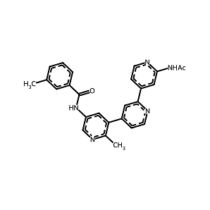 CC(=O)Nc1cc(-c2cc(-c3cc(NC(=O)c4cccc(C)c4)cnc3C)ccn2)ccn1